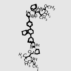 COC(=O)N[C@H](C(=O)N1CCC[C@H]1c1nc2ccc(-c3ccc(-c4ccc(-c5cnc([C@@H]6C7CCC(C7)N6C(=O)[C@@H](NC(=O)OC)C(C)C)[nH]5)cc4)c4c3C3CCC4C3)cc2[nH]1)C(C)C